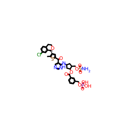 Cc1sc(C(=O)c2cncnc2NC2CC(COS(N)(=O)=O)C(OC(=O)c3cccc(COP(=O)(O)O)c3)C2)cc1[C@@H]1OCCc2ccc(Cl)cc21